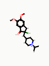 COc1cc2c(cc1OC)C(=O)C(F)(CC1CCN(C(C)C)CC1)C2